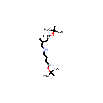 COC(C)(OC)O[SiH2]CCCNCC(C)C[SiH2]OC(C)(OC)OC